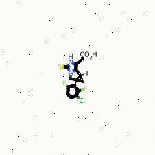 O=C(O)Cc1[nH]c(=S)n2c1[C@@H]1C[C@]1(c1c(F)ccc(Cl)c1F)C2